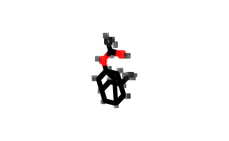 CC(C)C12CC3CC(CC(OC(=O)C(F)(F)F)(C3)C1)C2